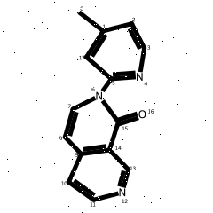 Cc1ccnc(-n2ccc3ccncc3c2=O)c1